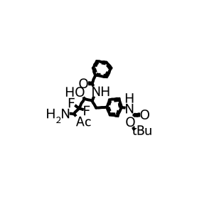 CC(=O)C(N)C(F)(F)C(O)C(Cc1ccc(NC(=O)OC(C)(C)C)cc1)NC(=O)c1ccccc1